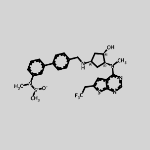 CN(c1ncnc2sc(CC(F)(F)F)cc12)[C@H]1C[C@@H](NCc2ccc(-c3cccc(N(C)[S+](C)[O-])c3)cc2)C[C@H]1O